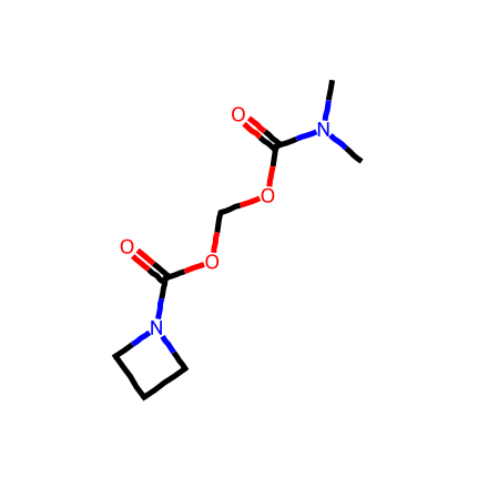 CN(C)C(=O)OCOC(=O)N1CCC1